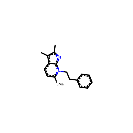 CSc1ccc2c(C)c(C)nc-2n1CCc1ccccc1